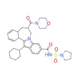 O=C(NS(=O)(=O)N1CCCC1)c1ccc2c(C3CCCCC3)c3n(c2c1)CC(C(=O)N1CCOCC1)CC1C=CC=CC31